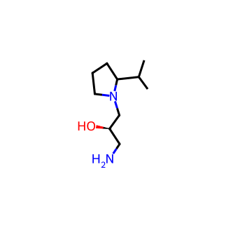 CC(C)C1CCCN1C[C@H](O)CN